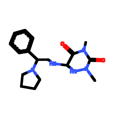 CN1NC(NCC(c2ccccc2)N2CCCC2)C(=O)N(C)C1=O